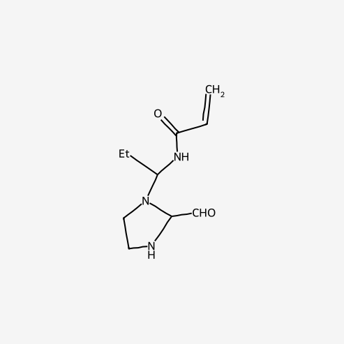 C=CC(=O)NC(CC)N1CCNC1C=O